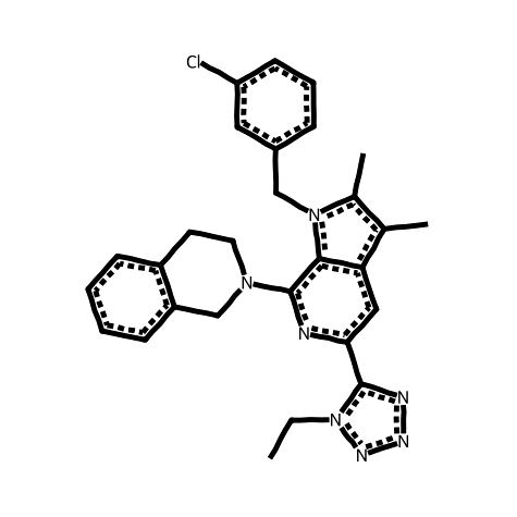 CCn1nnnc1-c1cc2c(C)c(C)n(Cc3cccc(Cl)c3)c2c(N2CCc3ccccc3C2)n1